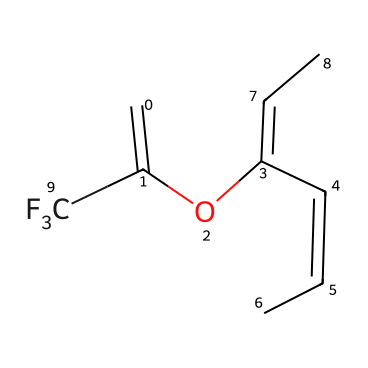 C=C(OC(/C=C\C)=C/C)C(F)(F)F